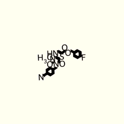 Cn1c2c(c(=O)n(Cc3ccc(C#N)cc3)c1=O)SC(C(=O)OCc1ccc(F)cc1)=CN2